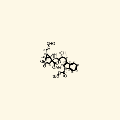 COC(=O)[C@]1(NC(=O)[C@@H](C)Cc2cn(C(=O)OC(C)(C)C)c3ccccc23)CS(=O)(=O)[C@H]2[C@H](COC=O)[C@H]21